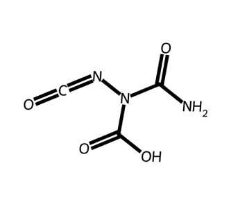 NC(=O)N(N=C=O)C(=O)O